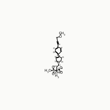 COCC#Cc1ccc(C2=CCN(CCC(C)(C(=O)O)S(C)(=O)=O)CC2)cc1